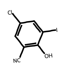 N#Cc1cc(Cl)cc(I)c1O